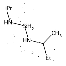 CCC(C)N[SiH2]NC(C)C